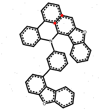 c1ccc(-c2ccccc2N(c2cccc(-c3cccc4oc5ccccc5c34)c2)c2cccc3oc4ccccc4c23)cc1